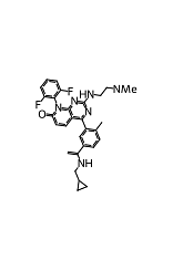 C=C(NCC1CC1)c1ccc(C)c(-c2nc(NCCNC)nc3c2ccc(=O)n3-c2c(F)cccc2F)c1